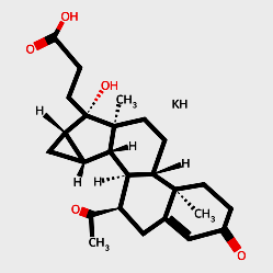 CC(=O)[C@@H]1CC2=CC(=O)CC[C@]2(C)[C@H]2CC[C@@]3(C)[C@@H]([C@@H]4C[C@@H]4[C@@]3(O)CCC(=O)O)[C@H]12.[KH]